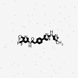 Cn1cnc(Nc2ncc(-c3ccc(CC(=O)Nc4cnc(Cl)c(C(F)(F)F)c4)cc3)cn2)c1